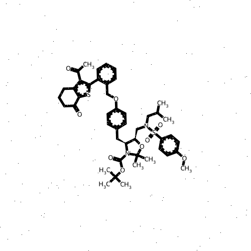 COc1ccc(S(=O)(=O)N(CC(C)C)C[C@H]2OC(C)(C)N(C(=O)OC(C)(C)C)[C@H]2Cc2ccc(OCc3ccccc3-c3sc4c(c3C(C)=O)CCCC4=O)cc2)cc1